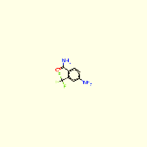 NC(=O)c1ccc(N)cc1C(F)(F)F